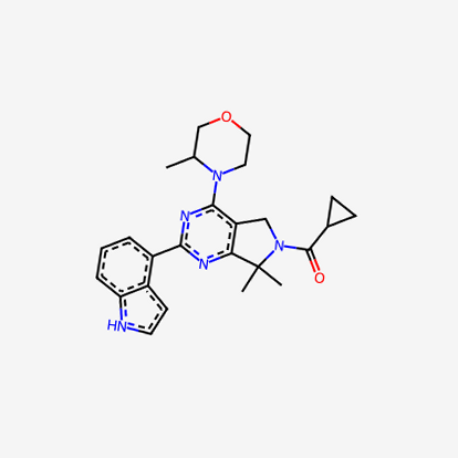 CC1COCCN1c1nc(-c2cccc3[nH]ccc23)nc2c1CN(C(=O)C1CC1)C2(C)C